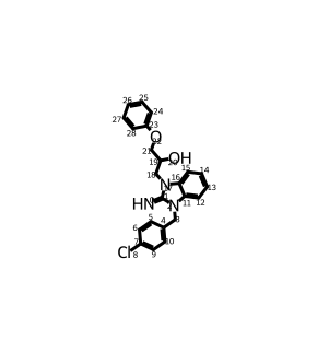 N=c1n(Cc2ccc(Cl)cc2)c2ccccc2n1CC(O)COc1ccccc1